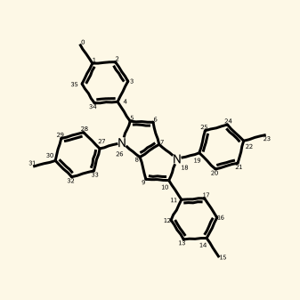 Cc1ccc(-c2cc3c(cc(-c4ccc(C)cc4)n3-c3ccc(C)cc3)n2-c2ccc(C)cc2)cc1